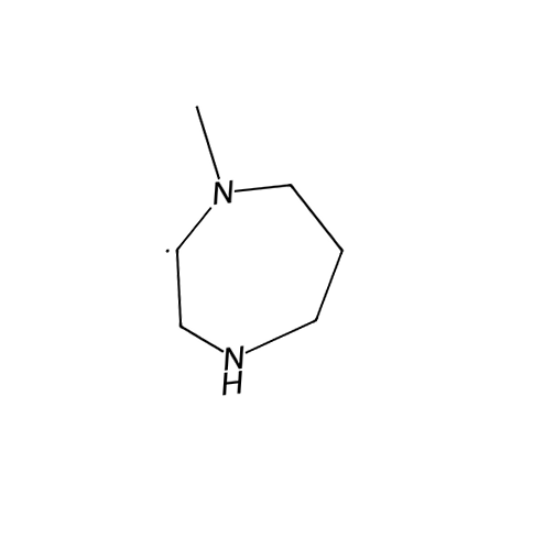 CN1[CH]CNCCC1